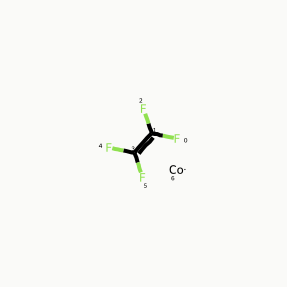 FC(F)=C(F)F.[Co]